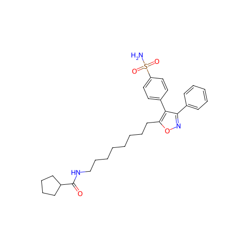 NS(=O)(=O)c1ccc(-c2c(-c3ccccc3)noc2CCCCCCCCNC(=O)C2CCCC2)cc1